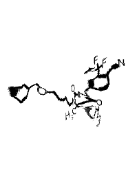 CC1(C)C(=O)N(c2ccc(C#N)c(C(F)(F)F)c2)C(=O)N1CCCCOCc1ccccc1